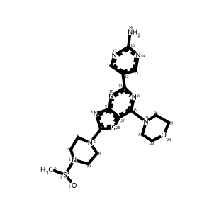 C[S+]([O-])N1CCN(c2nc3nc(-c4cnc(N)nc4)nc(N4CCOCC4)c3s2)CC1